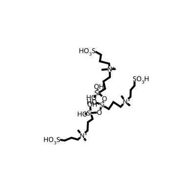 C[N+](C)(CCC[Si](O)(O)O[Si](O)(CCC[N+](C)(C)CCCS(=O)(=O)O)O[Si](O)(O)CCC[N+](C)(C)CCCS(=O)(=O)O)CCCS(=O)(=O)O